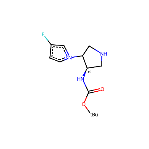 CC(C)(C)OC(=O)N[C@@H]1CNCC1n1ccc(F)c1